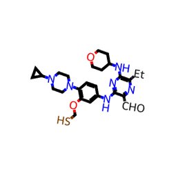 CCc1nc(C=O)c(Nc2ccc(N3CCN(C4CC4)CC3)c(OCS)c2)nc1NC1CCOCC1